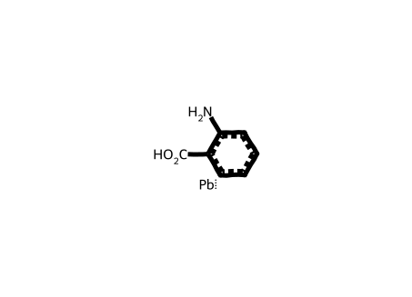 Nc1ccccc1C(=O)O.[Pb]